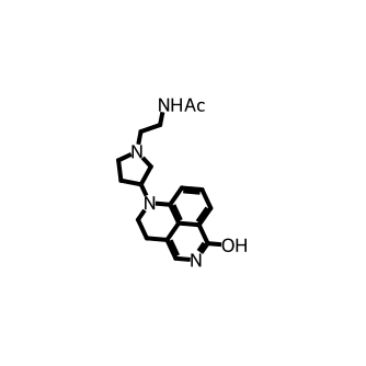 CC(=O)NCCN1CCC(N2CCc3cnc(O)c4cccc2c34)C1